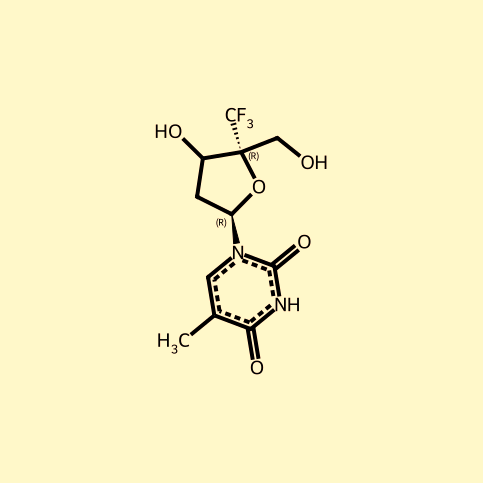 Cc1cn([C@H]2CC(O)[C@](CO)(C(F)(F)F)O2)c(=O)[nH]c1=O